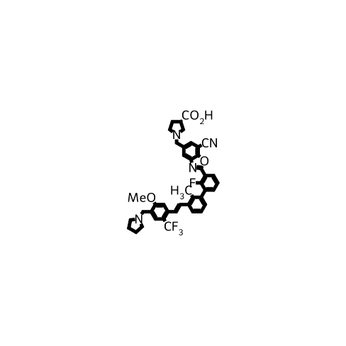 COc1cc(/C=C/c2cccc(-c3cccc(-c4nc5cc(CN6CC[C@@H](C(=O)O)C6)cc(C#N)c5o4)c3F)c2C)c(C(F)(F)F)cc1CN1CCCC1